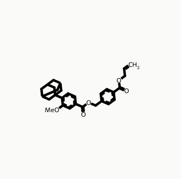 C=CCOC(=O)c1ccc(COC(=O)c2ccc(C34CC5CC(CC(C5)C3)C4)c(OC)c2)cc1